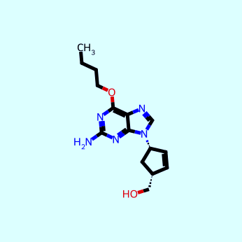 CCCCOc1nc(N)nc2c1ncn2[C@@H]1C=C[C@H](CO)C1